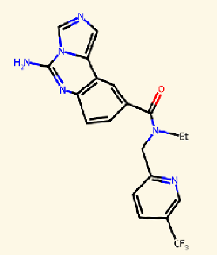 CCN(Cc1ccc(C(F)(F)F)cn1)C(=O)c1ccc2nc(N)n3cncc3c2c1